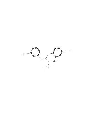 CC1(C)c2cc(O)ccc2CC(Sc2cccc(O)c2)C1N